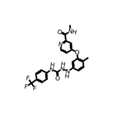 CNC(=O)c1cc(Oc2cc(NNC(=O)Nc3ccc(C(F)(F)F)cc3)ccc2C)ccn1